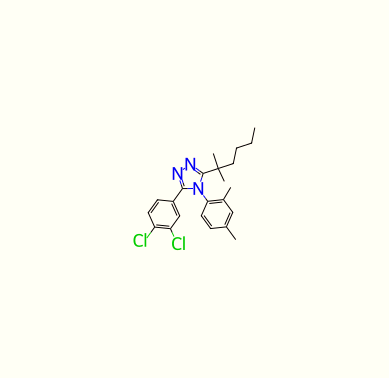 CCCCC(C)(C)c1nnc(-c2ccc(Cl)c(Cl)c2)n1-c1ccc(C)cc1C